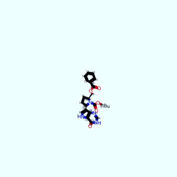 CC(C)(C)OC(=O)N1[C@H](COC(=O)c2ccccc2)CC[C@@H]1c1c[nH]c2c(=O)[nH]cnc12